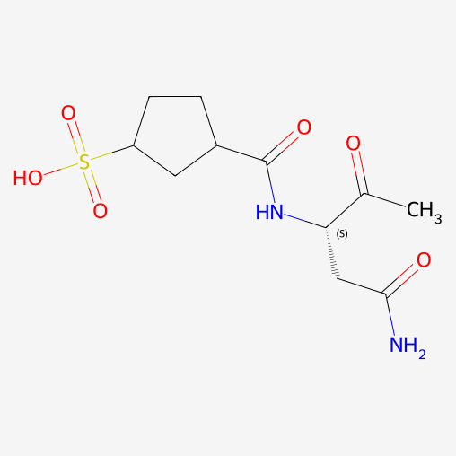 CC(=O)[C@H](CC(N)=O)NC(=O)C1CCC(S(=O)(=O)O)C1